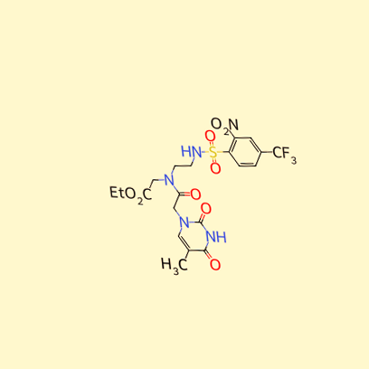 CCOC(=O)CN(CCNS(=O)(=O)c1ccc(C(F)(F)F)cc1[N+](=O)[O-])C(=O)Cn1cc(C)c(=O)[nH]c1=O